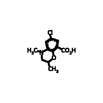 CC1CN(C)c2cc(Cl)cc(C(=O)O)c2O1